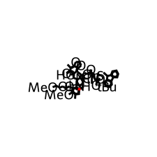 COCCOCOc1c(OC)c(C)cc2c1[C@@H]1C3CC4(O)C(=O)C(C)=C5OCOC5=C4[C@H](COC(=O)[C@@H](CSCC4c5ccccc5-c5ccccc54)NC(=O)OC(C)(C)C)N3[C@@H](C#N)[C@@H](C2)N1C